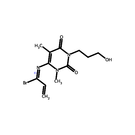 C=C/C(Br)=N\c1c(C)c(=O)n(CCCO)c(=O)n1C